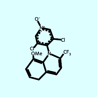 COC1=C2C(=CC=C(C(F)(F)F)N2c2c(Cl)c[n+]([O-])cc2Cl)CC=C1